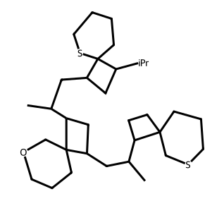 CC(C)C1CC(CC(C)C2CC(CC(C)C3CCC34CCCSC4)C23CCCOC3)C12CCCCS2